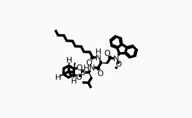 CCCCCCCCCC(=O)N[C@@H](CC(=O)N(OC)C1c2ccccc2-c2ccccc21)C(=O)N[C@@H](CC(C)C)B1O[C@@H]2C[C@@H]3C[C@@H](C3(C)C)[C@]2(C)O1